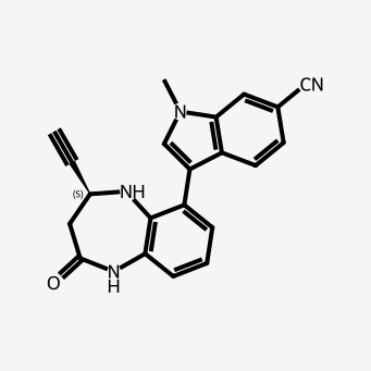 C#C[C@@H]1CC(=O)Nc2cccc(-c3cn(C)c4cc(C#N)ccc34)c2N1